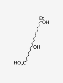 CCC(O)CCCCCCC=CC=C(O)C=CC=CC=CC(=O)O